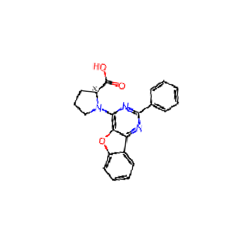 O=C(O)[C@@H]1CCCN1c1nc(-c2ccccc2)nc2c1oc1ccccc12